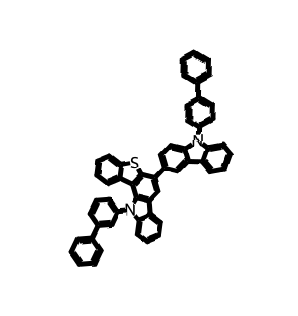 c1ccc(-c2ccc(-n3c4ccccc4c4cc(-c5cc6c7ccccc7n(-c7cccc(-c8ccccc8)c7)c6c6c5sc5ccccc56)ccc43)cc2)cc1